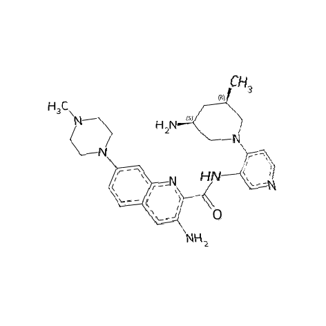 C[C@@H]1C[C@H](N)CN(c2ccncc2NC(=O)c2nc3cc(N4CCN(C)CC4)ccc3cc2N)C1